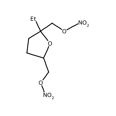 CCC1(CO[N+](=O)[O-])CCC(CO[N+](=O)[O-])O1